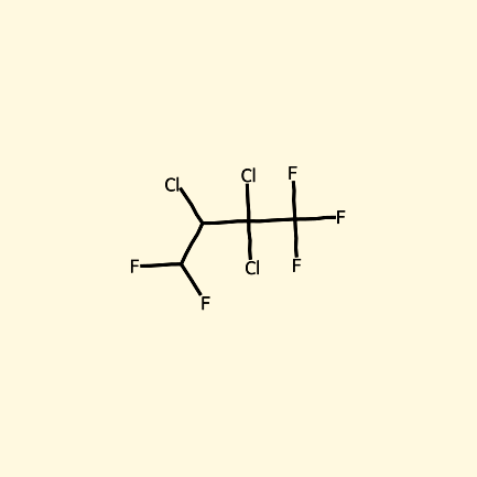 FC(F)C(Cl)C(Cl)(Cl)C(F)(F)F